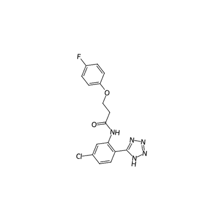 O=C(CCOc1ccc(F)cc1)Nc1cc(Cl)ccc1-c1nnn[nH]1